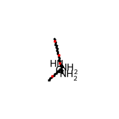 CCCCCCCCCCCCCCCCNCCC(N)C(CCN)OCCCCCCCCCC